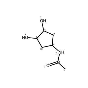 CC(=O)NC1CC(O)C(O)C1